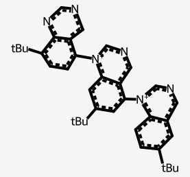 CC(C)(C)c1ccc2c(cnc[n+]2-c2cc(C(C)(C)C)cc3c2cnc[n+]3-c2ccc(C(C)(C)C)c3ncncc23)c1